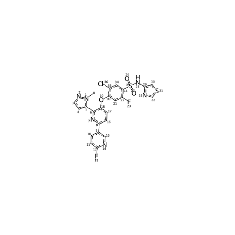 Cn1nccc1-c1nc(-c2ccc(F)nc2)ccc1Oc1cc(F)c(S(=O)(=O)Nc2cscn2)cc1Cl